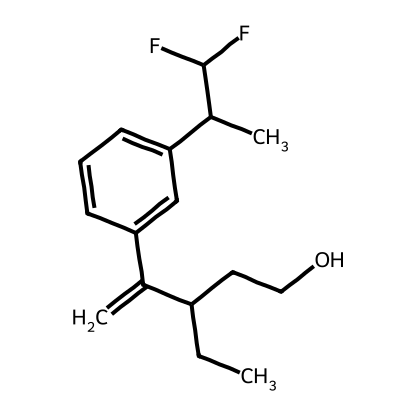 C=C(c1cccc(C(C)C(F)F)c1)C(CC)CCO